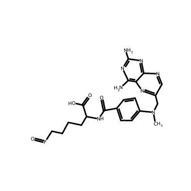 CN(Cc1cnc2nc(N)nc(N)c2n1)c1ccc(C(=O)NC(CCCCP=O)C(=O)O)cc1